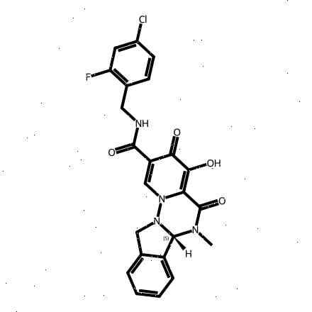 CN1C(=O)c2c(O)c(=O)c(C(=O)NCc3ccc(Cl)cc3F)cn2N2Cc3ccccc3[C@@H]12